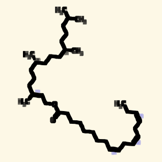 CC/C=C\C/C=C\C/C=C\CCCCCCCC(=O)OC/C=C(\C)CCC[C@H](C)CCC[C@H](C)CCCC(C)C